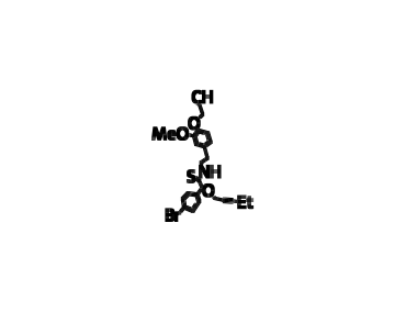 C#CCOc1ccc(CCNC(=S)C(OCC#CCC)c2ccc(Br)cc2)cc1OC